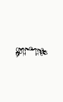 c1scc2c1OCC(CNCCOCCNCC1COc3cscc3O1)O2